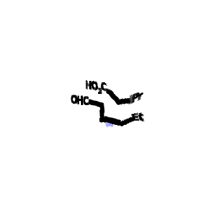 CC(C)CC(=O)O.CC/C=C\CC=O